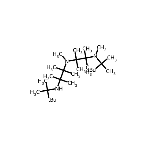 CN(C(C)(C)C(C)(C)C)C(C)(C)C(C)(C)N(C)C(C)(C)C(C)(C)NC(C)(C)C(C)(C)C